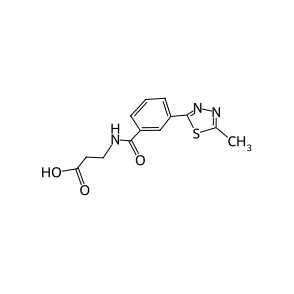 Cc1nnc(-c2cccc(C(=O)NCCC(=O)O)c2)s1